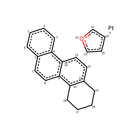 [Pt].c1ccc2c(c1)ccc1c3c(ccc12)CCCC3.c1ccoc1